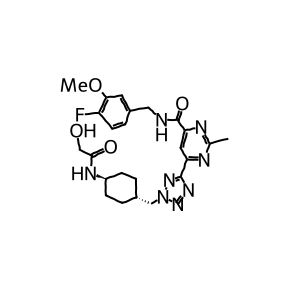 COc1cc(CNC(=O)c2cc(-c3nnn(C[C@H]4CC[C@H](NC(=O)CO)CC4)n3)nc(C)n2)ccc1F